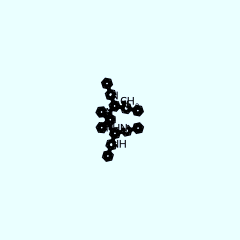 CN1CC(c2ccccc2)CCC1c1cc(C2=NCC(c3ccccc3)CC2)cc(-n2c3ccccc3c3c4c5ccccc5n(-c5cc(C6CCC(c7ccccc7)CN6)cc(C6CCC(c7ccccc7)CN6)c5)c4ccc32)c1